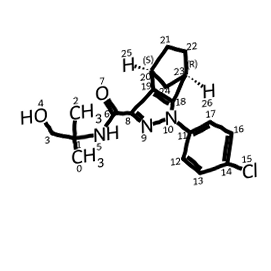 CC(C)(CO)NC(=O)c1nn(-c2ccc(Cl)cc2)c2c1[C@H]1CC[C@@H]2C1